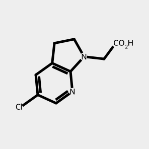 O=C(O)CN1CCc2cc(Cl)cnc21